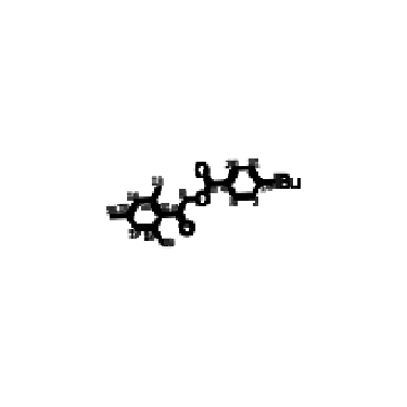 CCC(C)c1ccc(C(=O)OCC(=O)c2c(C)cc(C)cc2C)cc1